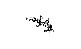 CC(=O)c1nn(CC(=O)N2C[C@H](F)C[C@H]2C(=O)Nc2nc(Br)c(F)cc2C)c2c(C)nc(-c3cnc(C)nc3)cc12